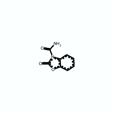 NC(=O)n1c(=O)oc2ccccc21